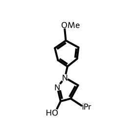 COc1ccc(-n2cc(C(C)C)c(O)n2)cc1